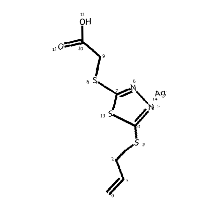 C=CCSc1nnc(SCC(=O)O)s1.[Ag]